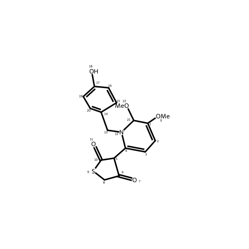 COC1=CC=C(C2C(=O)CSC2=O)N(Cc2ccc(O)cc2)C1OC